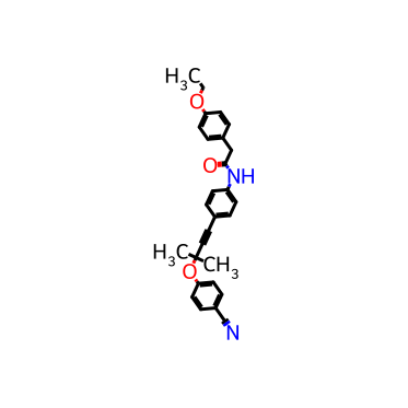 CCOc1ccc(CC(=O)Nc2ccc(C#CC(C)(C)Oc3ccc(C#N)cc3)cc2)cc1